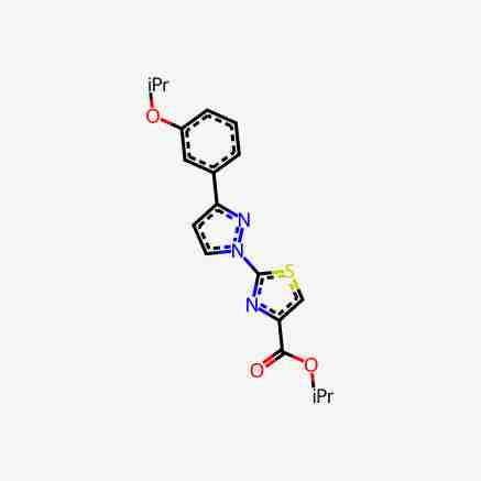 CC(C)OC(=O)c1csc(-n2ccc(-c3cccc(OC(C)C)c3)n2)n1